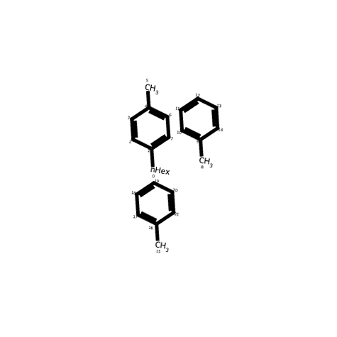 CCCCCCc1ccc(C)cc1.Cc1ccccc1.Cc1ccccc1